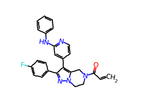 C=CC(=O)N1CCn2nc(-c3ccc(F)cc3)c(-c3ccnc(Nc4ccccc4)c3)c2C1